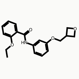 CCOc1ccccc1C(=O)Nc1cccc(OCC2COC2)c1